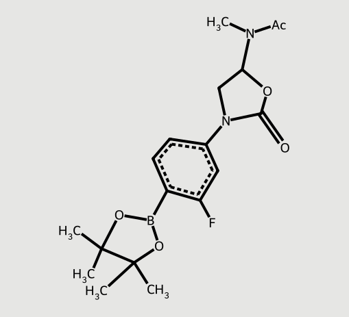 CC(=O)N(C)C1CN(c2ccc(B3OC(C)(C)C(C)(C)O3)c(F)c2)C(=O)O1